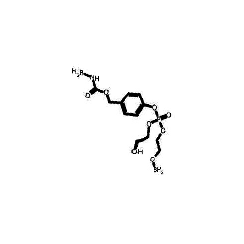 BNC(=O)OCc1ccc(OP(=O)(OCCO)OCCOB)cc1